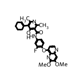 COc1cc2nccc(Oc3ccc(NC(=O)c4c(C)nc(C)c(C5=CCCCC5)c4O)cc3F)c2nc1OC